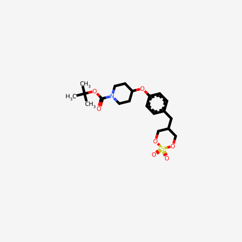 CC(C)(C)OC(=O)N1CCC(Oc2ccc(CC3COS(=O)(=O)OC3)cc2)CC1